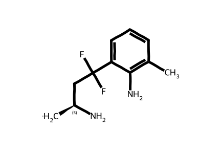 [CH2][C@H](N)CC(F)(F)c1cccc(C)c1N